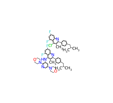 Cc1c(-c2ccc(CC(C)C)cc2)nc2cc(F)cc(F)c2c1Cl.Cc1c(-c2ccc(CC(C)C)cc2)nc2cc(F)cc(F)c2c1Nc1cc(N2CCOCC2)cnc1N1CCOCC1